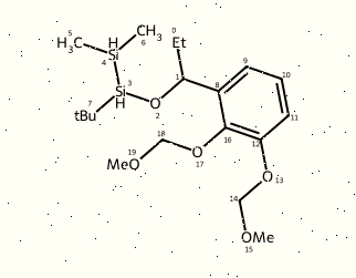 CCC(O[SiH]([SiH](C)C)C(C)(C)C)c1cccc(OCOC)c1OCOC